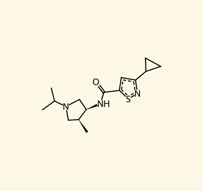 CC(C)N1C[C@H](C)[C@H](NC(=O)c2cc(C3CC3)ns2)C1